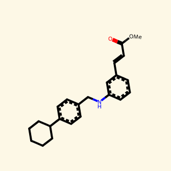 COC(=O)/C=C/c1cccc(NCc2ccc(C3CCCCC3)cc2)c1